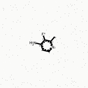 Cc1nccc(N)c1F